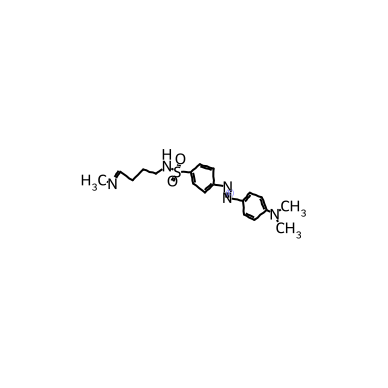 CN=CCCCNS(=O)(=O)c1ccc(/N=N/c2ccc(N(C)C)cc2)cc1